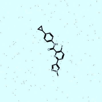 Cn1cc(-c2ccc(F)c(C(=O)Nc3ccc(C4CC4)cc3)n2)cn1